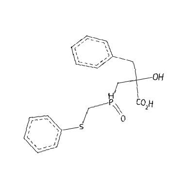 O=C(O)C(O)(Cc1ccccc1)C[PH](=O)CSc1ccccc1